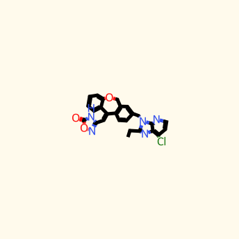 CCc1nc2c(Cl)ccnc2n1Cc1ccc2c(c1)COc1ccccc1/C2=C\c1noc(=O)[nH]1